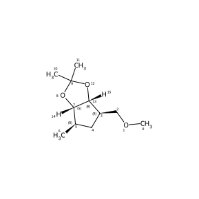 COC[C@H]1C[C@@H](C)[C@@H]2OC(C)(C)O[C@H]12